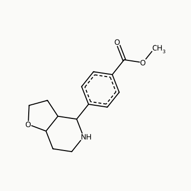 COC(=O)c1ccc(C2NCCC3OCCC32)cc1